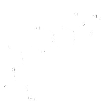 CC(C)(C)OC(=O)N1CCOC(COc2ccc(S(N)(=O)=O)cc2Cl)C1